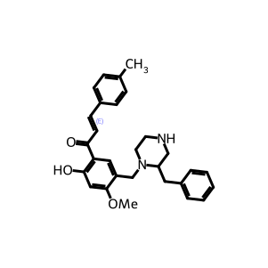 COc1cc(O)c(C(=O)/C=C/c2ccc(C)cc2)cc1CN1CCNCC1Cc1ccccc1